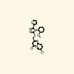 COc1ccccc1-n1c(SCc2cc(=O)n3cc(Cl)ccc3n2)nnc1-c1cccs1